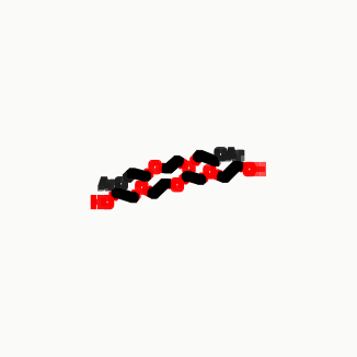 CC(=O)OCCOCCOCCOC(C)=O.OCCOCCOCCOCCO